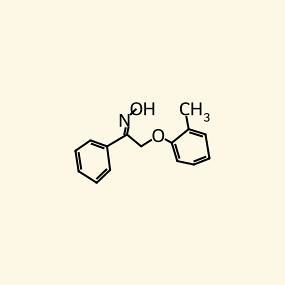 Cc1ccccc1OCC(=NO)c1ccccc1